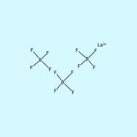 F[B-](F)(F)F.F[B-](F)(F)F.F[B-](F)(F)F.[La+3]